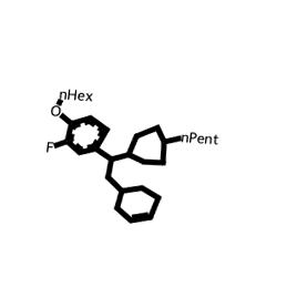 CCCCCCOc1ccc(C(CC2CC=CCC2)C2CCC(CCCCC)CC2)cc1F